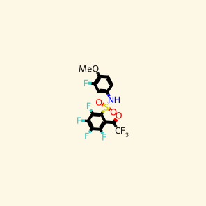 COc1ccc(NS(=O)(=O)c2c(F)c(F)c(F)c(F)c2C(=O)C(F)(F)F)cc1F